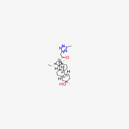 CC[C@@H]1C[C@H](C(=O)Cn2nnc(C)n2)[C@@]2(C)CC[C@H]3[C@@H](CC[C@@H]4C[C@](C)(O)CC[C@@H]43)[C@H]12